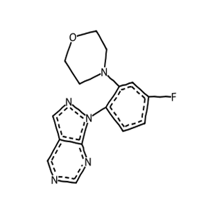 Fc1ccc(-n2ncc3cncnc32)c(N2CCOCC2)c1